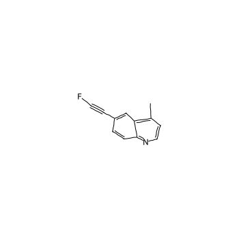 Cc1ccnc2ccc(C#CF)cc12